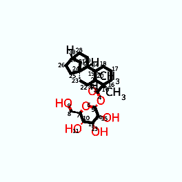 CC1(C(=O)O[C@@H]2O[C@H](CO)[C@@H](O)[C@H](O)[C@H]2O)CCC[C@@]2(C)[C@H]1CC[C@@]13CC[C@H](CC[C@@H]12)C3